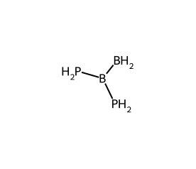 BB(P)P